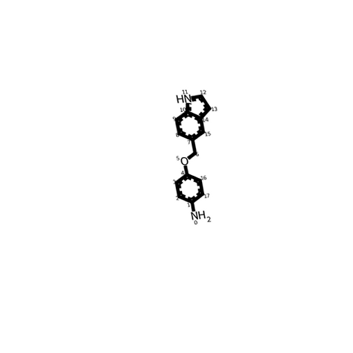 Nc1ccc(OCc2ccc3[nH]ccc3c2)cc1